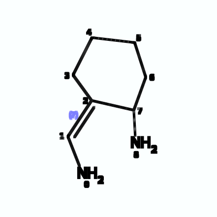 N/C=C1/CCCCC1N